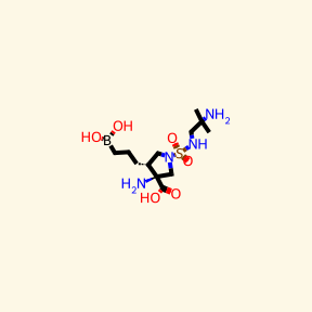 CC(C)(N)CNS(=O)(=O)N1C[C@@H](CCCB(O)O)[C@@](N)(C(=O)O)C1